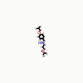 CC(C)COc1ccc(CNCCCOC(C)C)cc1